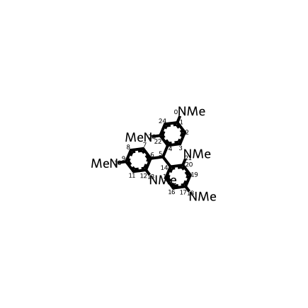 CNc1ccc(C(c2ccc(NC)cc2NC)c2ccc(NC)cc2NC)c(NC)c1